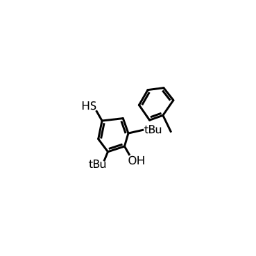 CC(C)(C)c1cc(S)cc(C(C)(C)C)c1O.Cc1ccccc1